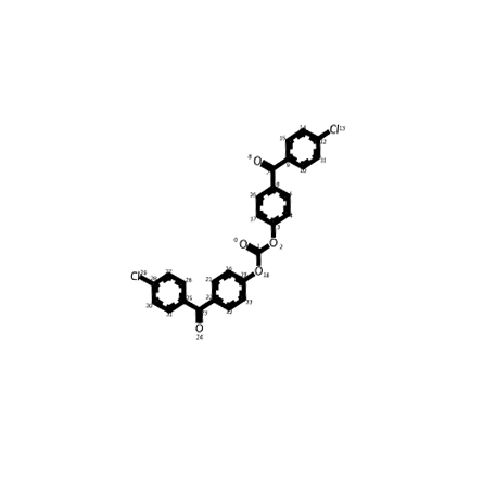 O=C(Oc1ccc(C(=O)c2ccc(Cl)cc2)cc1)Oc1ccc(C(=O)c2ccc(Cl)cc2)cc1